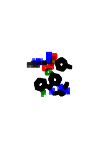 CCCCNC(=O)NS(=O)(=O)c1ccc(C)cc1.Cc1ncc2n1-c1ccc(Cl)cc1C(c1ccccc1F)=NC2